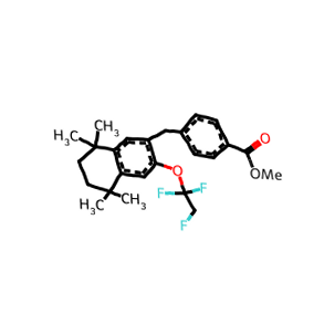 COC(=O)c1ccc(Cc2cc3c(cc2OC(F)(F)CF)C(C)(C)CCC3(C)C)cc1